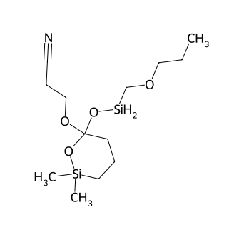 CCCOC[SiH2]OC1(OCCC#N)CCC[Si](C)(C)O1